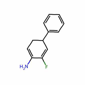 NC1=CCC(c2ccccc2)C=C1F